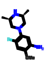 COc1cc(F)c(N2C[C@@H](C)N[C@@H](C)C2)cc1N